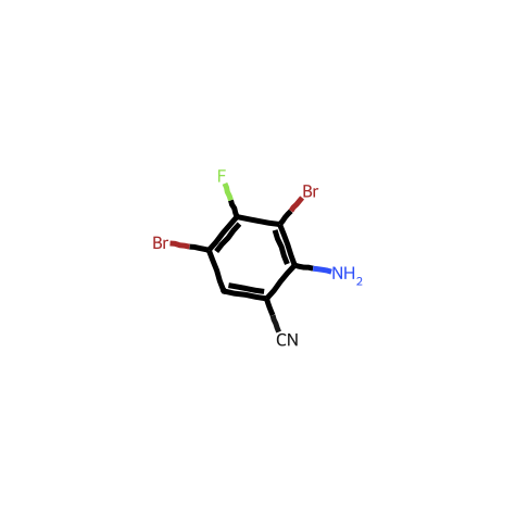 N#Cc1cc(Br)c(F)c(Br)c1N